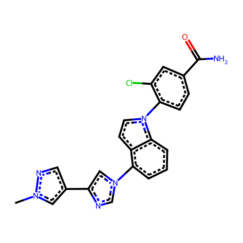 Cn1cc(-c2cn(-c3cccc4c3ccn4-c3ccc(C(N)=O)cc3Cl)cn2)cn1